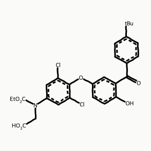 CCOC(=O)N(CC(=O)O)c1cc(Cl)c(Oc2ccc(O)c(C(=O)c3ccc(C(C)(C)C)cc3)c2)c(Cl)c1